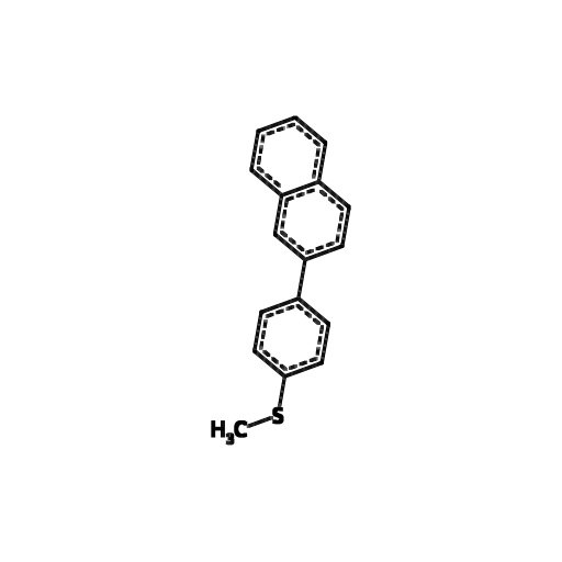 CSc1ccc(-c2ccc3ccccc3c2)cc1